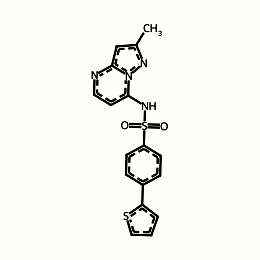 Cc1cc2nccc(NS(=O)(=O)c3ccc(-c4cccs4)cc3)n2n1